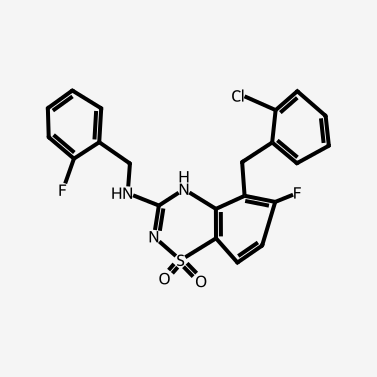 O=S1(=O)N=C(NCc2ccccc2F)Nc2c1ccc(F)c2Cc1ccccc1Cl